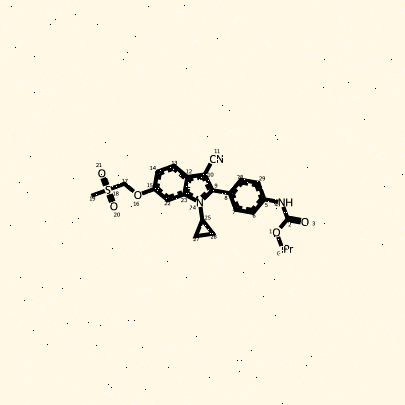 CC(C)OC(=O)Nc1ccc(-c2c(C#N)c3ccc(OCS(C)(=O)=O)cc3n2C2CC2)cc1